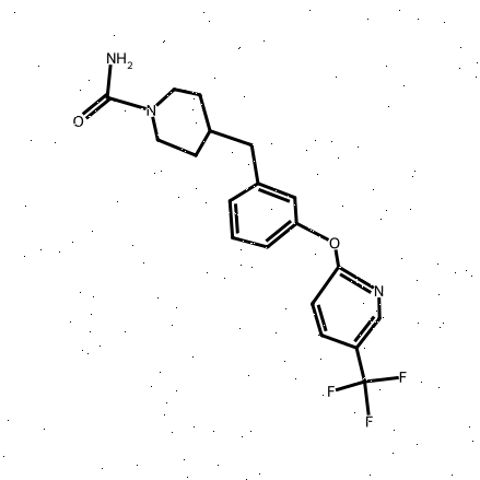 NC(=O)N1CCC(Cc2cccc(Oc3ccc(C(F)(F)F)cn3)c2)CC1